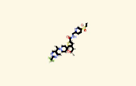 CCS(=O)(=O)c1ccc(CNC(=O)c2cc3c(s2)C2(CCN(C(C)c4cnc(C(F)(F)F)nc4C)CC2)O[C@@H](C)C3)nc1